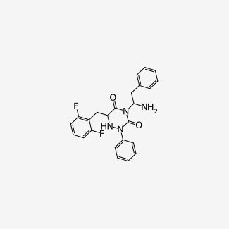 NC(Cc1ccccc1)N1C(=O)C(Cc2c(F)cccc2F)NN(c2ccccc2)C1=O